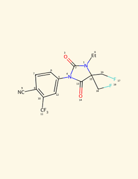 CCN1C(=O)N(c2ccc(C#N)c(C(F)(F)F)c2)C(=O)C1(CF)CF